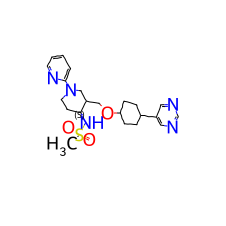 CS(=O)(=O)N[C@H]1CCN(c2ccccn2)CC1COC1CCC(c2cncnc2)CC1